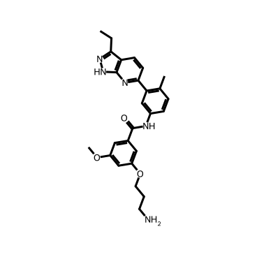 CCc1n[nH]c2nc(-c3cc(NC(=O)c4cc(OC)cc(OCCCN)c4)ccc3C)ccc12